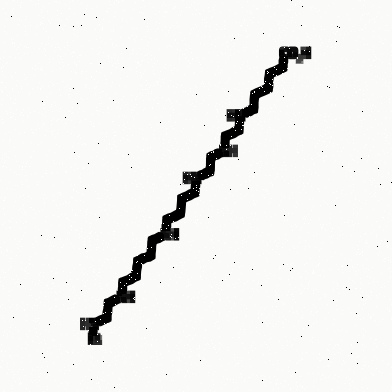 CCNCCNCCCCCNCCCCNCCNCCNCCCCCC(=O)O